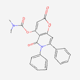 CN(C)C(=O)Oc1cc(=O)oc2cc(-c3ccccc3)n(-c3ccccc3)c(=O)c12